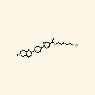 O=CCCOCCNC(=O)c1cnc(N2CCN(c3ncc4c(n3)CCNC4)CC2)nc1